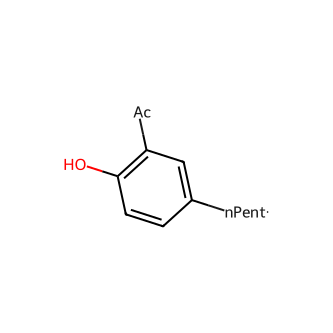 CCCC[CH]c1ccc(O)c(C(C)=O)c1